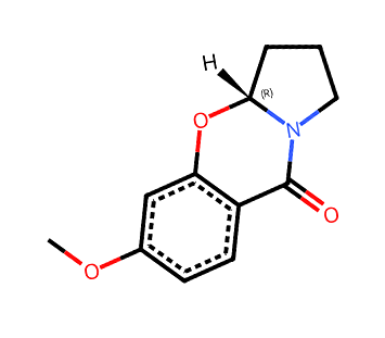 COc1ccc2c(c1)O[C@@H]1CCCN1C2=O